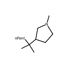 CCCCCC(C)(C)C1CCN(C)C1